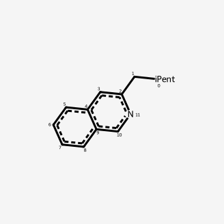 CCCC(C)Cc1cc2ccccc2cn1